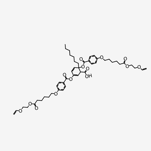 C=COCCOC(=O)CCCCCOc1ccc(C(=O)OC2=CC(C(=O)O)C(CCCCCCC)(OC(=O)c3ccc(OCCCCCC(=O)OCCOC=C)cc3)C=C2)cc1